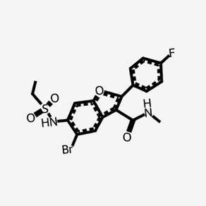 CCS(=O)(=O)Nc1cc2oc(-c3ccc(F)cc3)c(C(=O)NC)c2cc1Br